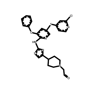 O=CCN1CCC(c2csc(Nc3ncc(Sc4ccnc(Cl)c4)cc3Oc3ccccc3)n2)CC1